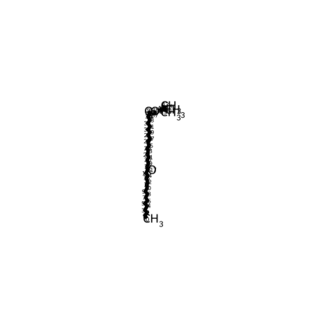 CCCCCCCCCCCCCCCCC(=O)CCCCCCCCC=CCCCCCCCC(=O)[P-]OCC[N+](C)(C)C